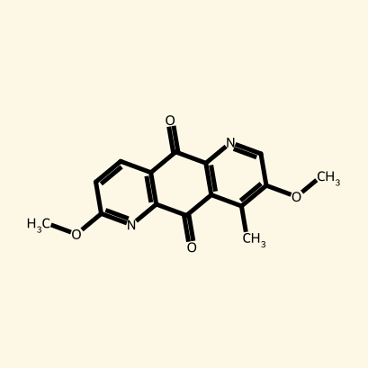 COc1ccc2c(n1)C(=O)c1c(ncc(OC)c1C)C2=O